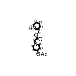 CC(=O)OC1CCN(CC(=O)OC[C@@H]2CCCCN2)CC1